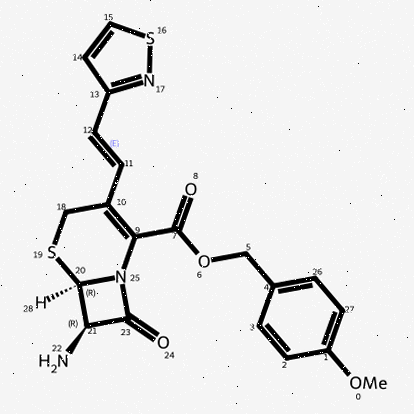 COc1ccc(COC(=O)C2=C(/C=C/c3ccsn3)CS[C@@H]3[C@H](N)C(=O)N23)cc1